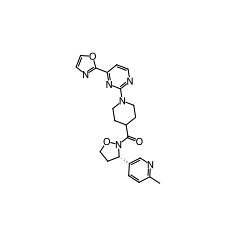 Cc1ccc([C@@H]2CCON2C(=O)C2CCN(c3nccc(-c4ncco4)n3)CC2)cn1